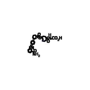 C[C@@]1(C(=O)NCC(=O)O)CC/C=C/[C@H](OC(=O)N2CCC[C@@H](c3ccc(-n4cc5cccc(C(N)=O)c5n4)cc3)C2)CC1